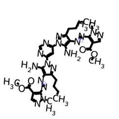 CCCCc1nn(-c2cc(-n3nc(CCCC)c(/N=N/c4c(C(=O)OC)cnn4C)c3N)ncn2)c(N)c1/N=N/c1c(C(=O)OC)cnn1C